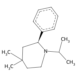 CC(C)N1CCC(C)(C)C[C@H]1c1ccccc1